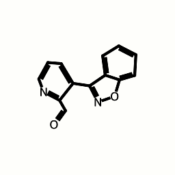 O=Cc1ncccc1-c1noc2ccccc12